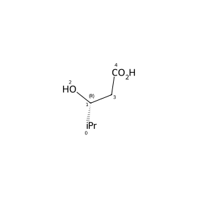 CC(C)[C@H](O)CC(=O)O